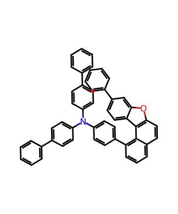 c1ccc(-c2ccc(N(c3ccc(-c4ccccc4)cc3)c3ccc(-c4cccc5ccc6oc7cc(-c8ccccc8)ccc7c6c45)cc3)cc2)cc1